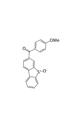 COc1ccc(C(=O)c2ccc3c4ccccc4[s+]([O-])c3c2)cc1